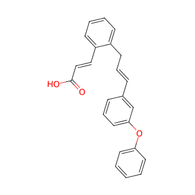 O=C(O)C=Cc1ccccc1CC=Cc1cccc(Oc2ccccc2)c1